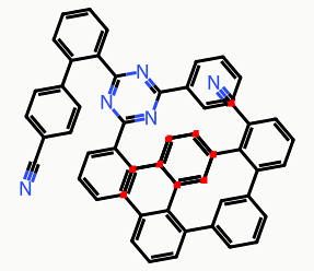 N#Cc1ccc(-c2ccccc2-c2nc(-c3ccccc3)nc(-c3ccccc3-c3ccc(-c4c(C#N)cccc4-c4cccc(-c5cccc6ccc7ccccc7c56)c4)cc3)n2)cc1